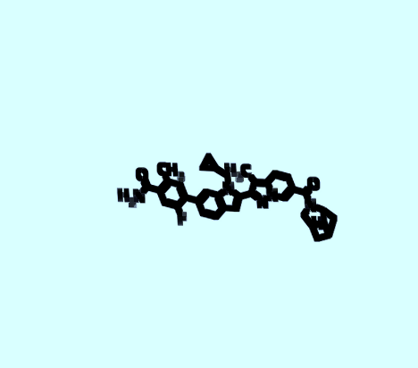 Cc1cc(-c2ccc3cc(-c4nn5cc(C(=O)N6CC7CC8CC6[C@H]87)ccc5c4C)n(CC4CC4)c3c2)c(F)cc1C(N)=O